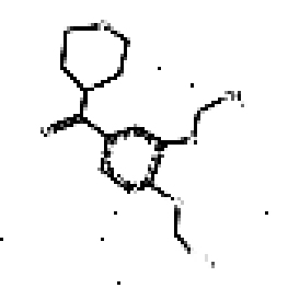 CCOc1ccc(C(=O)C2CC[N]CC2)cc1OCC